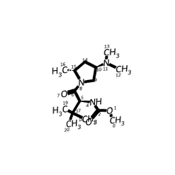 COC(=O)N[C@H](C(=O)N1C[C@H](N(C)C)C[C@H]1C)C(C)(C)C